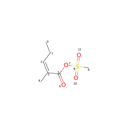 CCC=C(C)C(=O)OS(C)(=O)=O